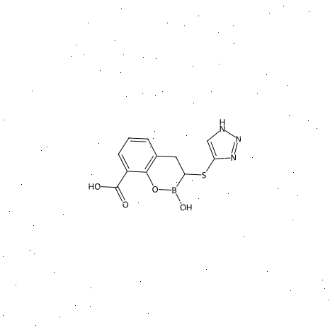 O=C(O)c1cccc2c1OB(O)C(Sc1c[nH]nn1)C2